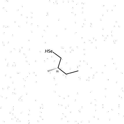 CC[C@H](C)C[SeH]